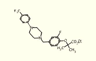 CCOC(=O)C(C)(C)Oc1ccc(CN2CCN(c3ccc(C(F)(F)F)cc3)CC2)cc1F